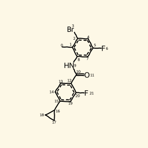 Cc1c(Br)cc(F)cc1NC(=O)c1ccc(C2CC2)cc1F